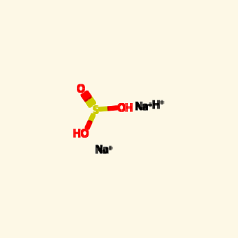 O=S(O)O.[H+].[Na+].[Na+]